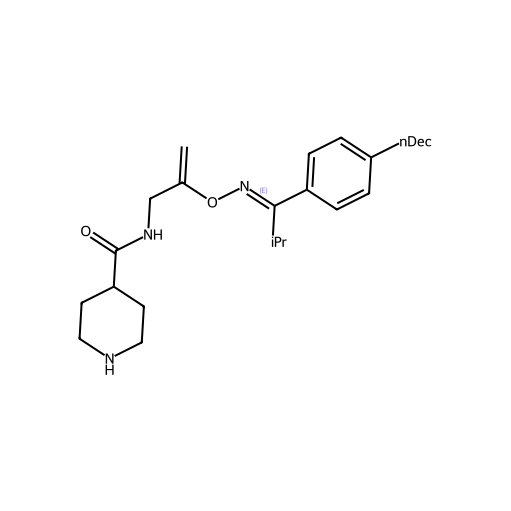 C=C(CNC(=O)C1CCNCC1)O/N=C(/c1ccc(CCCCCCCCCC)cc1)C(C)C